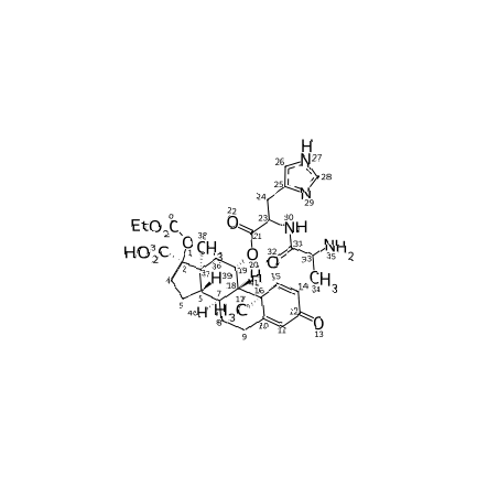 CCOC(=O)O[C@]1(C(=O)O)CC[C@H]2[C@@H]3CCC4=CC(=O)C=C[C@]4(C)[C@H]3[C@@H](OC(=O)C(Cc3c[nH]cn3)NC(=O)C(C)N)C[C@@]21C